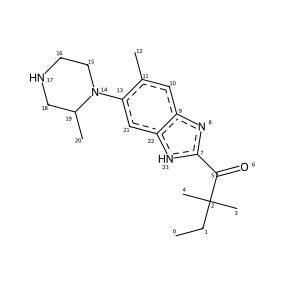 CCC(C)(C)C(=O)c1nc2cc(C)c(N3CCNCC3C)cc2[nH]1